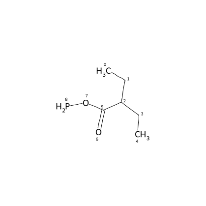 CCC(CC)C(=O)OP